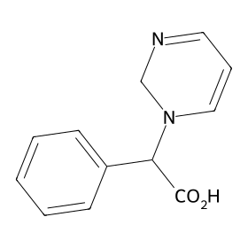 O=C(O)C(c1ccccc1)N1C=CC=NC1